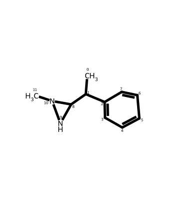 CC(c1ccccc1)C1NN1C